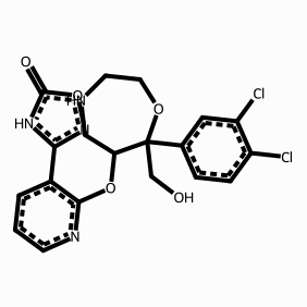 O=c1[nH]c(-c2cccnc2OC2CNCCOC2(CO)c2ccc(Cl)c(Cl)c2)no1